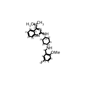 COc1ccc(F)cc1CN[C@H]1CC[C@@H](Nc2nc(N(C)C)c3ccccc3n2)CC1